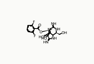 N=C1NC2[C@H](CO)NC(=N)N3C[C@H](OC(=O)c4c(F)cccc4F)C(O)(O)[C@]23N1